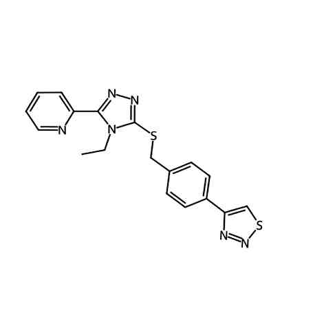 CCn1c(SCc2ccc(-c3csnn3)cc2)nnc1-c1ccccn1